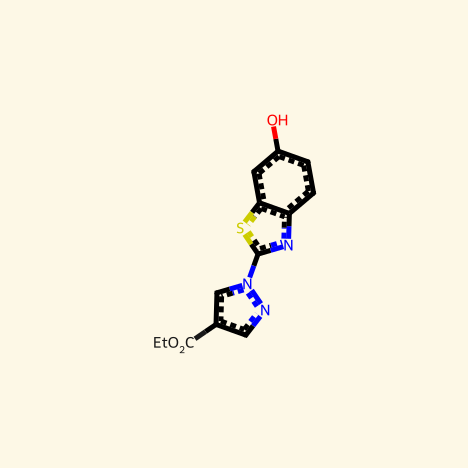 CCOC(=O)c1cnn(-c2nc3ccc(O)cc3s2)c1